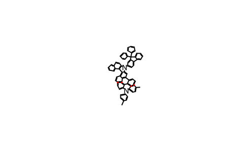 Cc1ccc(N(c2ccc(C)cc2)c2ccccc2-c2ccccc2-c2cc3c(c4ccccc24)c2c4ccccc4ccc2n3-c2ccc3c(c2)C(c2ccccc2)(c2ccccc2)c2ccccc2-3)cc1